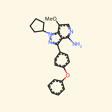 COc1cnc(N)c2c(-c3ccc(Oc4ccccc4)cc3)nn(C3CCCC3)c12